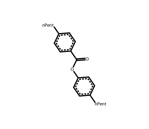 CCCCCc1ccc(OC(=O)c2ccc(CCCCC)cc2)cc1